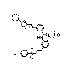 O=C(O)COc1ccc(CCCS(=O)(=O)c2ccc(Cl)cc2)cc1NC(=O)c1cccc(/C=C/c2ncc(C3CCCCC3)s2)c1